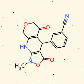 Cn1oc(=O)c2c1NC1=C(C(=O)COC1)C2c1cccc(C#N)c1